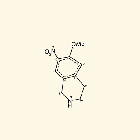 COc1cc2c(cc1[N+](=O)[O-])CNCC2